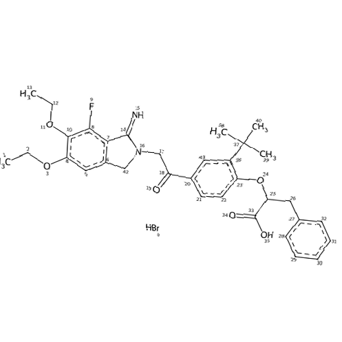 Br.CCOc1cc2c(c(F)c1OCC)C(=N)N(CC(=O)c1ccc(OC(Cc3ccccc3)C(=O)O)c(C(C)(C)C)c1)C2